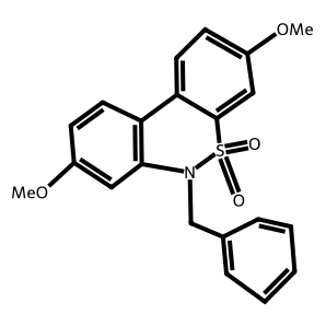 COc1ccc2c(c1)N(Cc1ccccc1)S(=O)(=O)c1cc(OC)ccc1-2